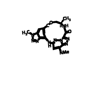 CNc1cc2nn3c(nnc13)C(=O)N[C@H](C)COCc1cc(c3nnn(C)c3c1)N2